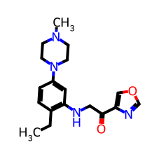 CCc1ccc(N2CCN(C)CC2)cc1NCC(=O)c1cocn1